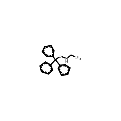 CCNSC(c1ccccc1)(c1ccccc1)c1ccccc1